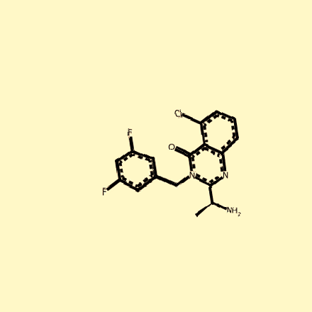 C[C@H](N)c1nc2cccc(Cl)c2c(=O)n1Cc1cc(F)cc(F)c1